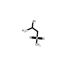 CC(C)C(C)CS(C)(=O)=O